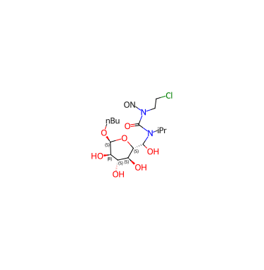 CCCCO[C@H]1O[C@H](C(O)N(C(=O)N(CCCl)N=O)C(C)C)[C@@H](O)[C@H](O)[C@H]1O